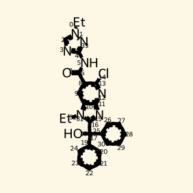 CCn1cnc(NC(=O)c2cc3c(nc2Cl)nc(C(O)(c2ccccc2)c2ccccc2)n3CC)n1